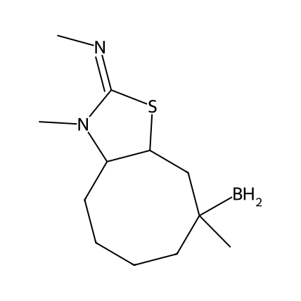 BC1(C)CCCCC2C(C1)S/C(=N/C)N2C